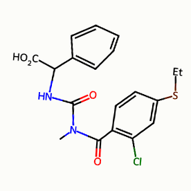 CCSc1ccc(C(=O)N(C)C(=O)NC(C(=O)O)c2ccccc2)c(Cl)c1